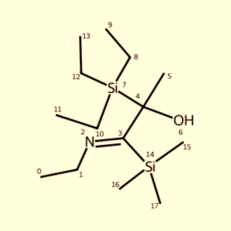 CCN=C(C(C)(O)[Si](CC)(CC)CC)[Si](C)(C)C